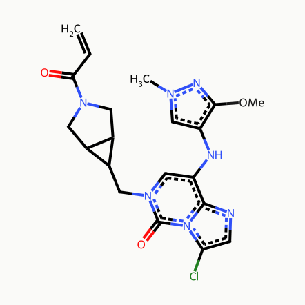 C=CC(=O)N1CC2C(C1)C2Cn1cc(Nc2cn(C)nc2OC)c2ncc(Cl)n2c1=O